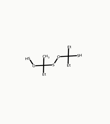 CCC(S)(CC)OSC(C)(CC)OS